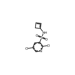 O=S(=O)(NC1=C=CC1)c1cc(Cl)cnc1Cl